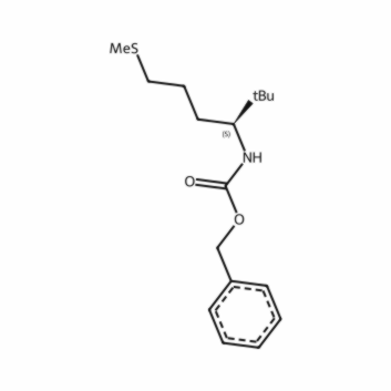 CSCCC[C@H](NC(=O)OCc1ccccc1)C(C)(C)C